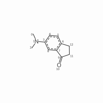 CN(C)c1ccc2c(c1)C(=O)CC2